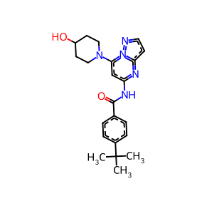 CC(C)(C)c1ccc(C(=O)Nc2cc(N3CCC(O)CC3)n3nccc3n2)cc1